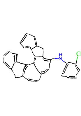 Clc1ccccc1Nc1cc2ccc3c(c2c2c1Cc1ccccc1-2)-c1ccccc1C3